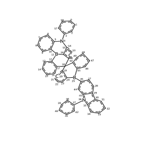 c1ccc(N2c3ccccc3B3c4ccccc4C4(c5ccccc5B(c5ccc6c7ccccc7n(-c7ccccc7)c6c5)c5ccccc54)c4cccc2c43)cc1